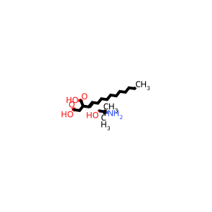 CC(C)(N)CO.CCCCCCCCCCC=CC(CC(=O)O)C(=O)O